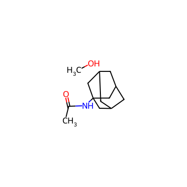 CC(=O)NC12CC3CC(CC(C3)C1)C2.CO